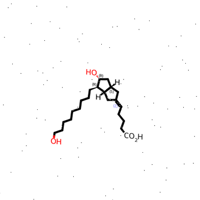 O=C(O)CCC/C=C1/C[C@H]2C[C@@H](O)[C@H](CCCCCCCCCO)[C@H]2C1